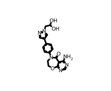 Nc1ncnc2c1C(=O)N(c1ccc(-c3cnn(CC(O)O)c3)cc1)CCO2